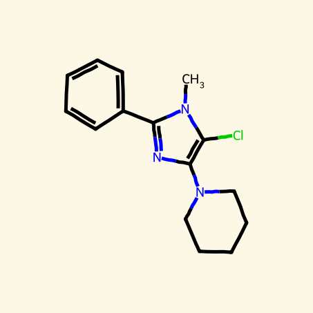 Cn1c(-c2ccccc2)nc(N2CCCCC2)c1Cl